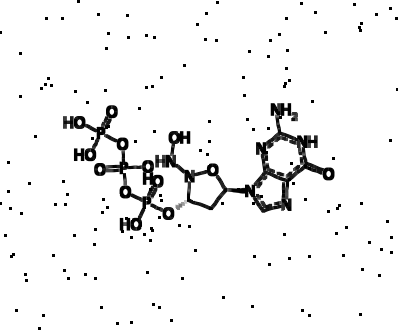 Nc1nc2c(ncn2[C@H]2C[C@H](OP(=O)(O)OP(=O)(O)OP(=O)(O)O)N(NO)O2)c(=O)[nH]1